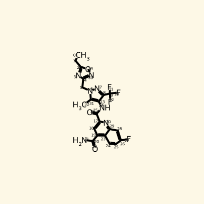 CCc1nc(Cn2nc(C(F)(F)F)c(NC(=O)c3cc(C(N)=O)c4ccc(F)cc4n3)c2C)no1